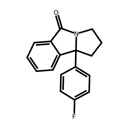 O=C1c2ccccc2C2(c3ccc(F)cc3)CCCN12